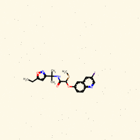 CCc1cc(C(C)(C)NC(=O)C(Oc2ccc3ncc(I)cc3c2)SC)no1